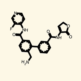 NCc1ccc(C(=O)Nc2ccncc2F)cc1-c1cccc(C(=O)NC2=CCOC2=O)c1